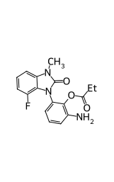 CCC(=O)Oc1c(N)cccc1-n1c(=O)n(C)c2cccc(F)c21